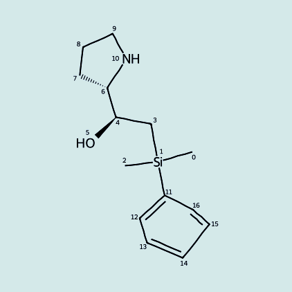 C[Si](C)(C[C@@H](O)[C@@H]1CCCN1)c1ccccc1